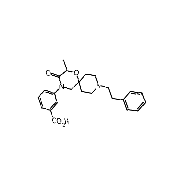 CC1OC2(CCN(CCc3ccccc3)CC2)CN(c2cccc(C(=O)O)c2)C1=O